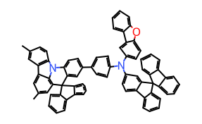 Cc1ccc2c(c1)c1cc(C)cc3c1n2-c1ccc(-c2ccc(N(c4ccc5c(c4)C4(c6ccccc6-c6ccccc64)c4ccccc4-5)c4ccc5oc6ccccc6c5c4)cc2)cc1C31c2ccccc2-c2ccccc21